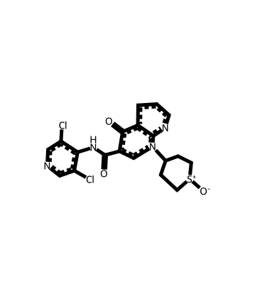 O=C(Nc1c(Cl)cncc1Cl)c1cn(C2CC[S+]([O-])CC2)c2ncccc2c1=O